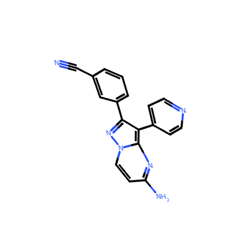 N#Cc1cccc(-c2nn3ccc(N)nc3c2-c2ccncc2)c1